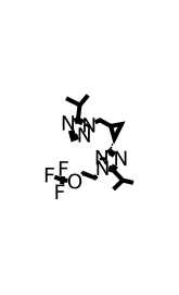 CC(C)c1ncnn1CC1C[C@@H]1c1nc(C(C)C)n(CCOC(F)(F)F)n1